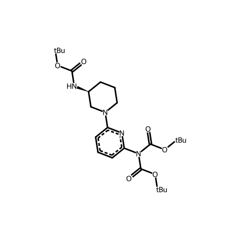 CC(C)(C)OC(=O)N[C@H]1CCCN(c2cccc(N(C(=O)OC(C)(C)C)C(=O)OC(C)(C)C)n2)C1